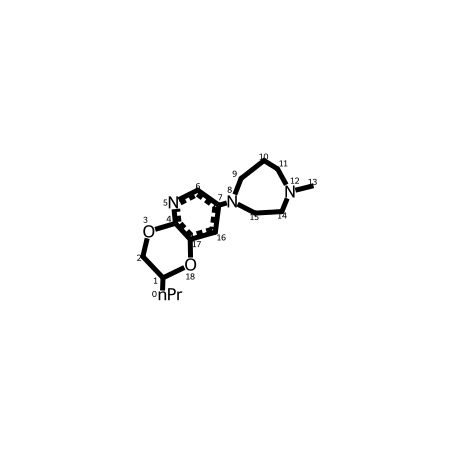 CCCC1COc2ncc(N3CCCN(C)CC3)cc2O1